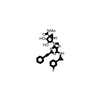 CNC(=O)[C@@]12C[C@@H]1[C@@H](n1cnc3c(NC4CC4c4cccc(F)c4)nc(C#Cc4ccccc4)nc31)[C@H](O)[C@@H]2O